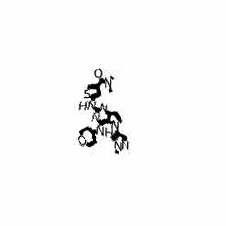 CN(C)C(=O)c1csc(Nc2nc(NC3CCOCC3)c3c(ccn3-c3cnn(C)c3)n2)c1